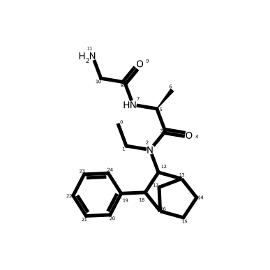 CCN(C(=O)[C@H](C)NC(=O)CN)C1C2CCC(C2)C1c1ccccc1